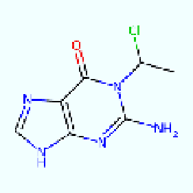 CC(Cl)n1c(N)nc2[nH]cnc2c1=O